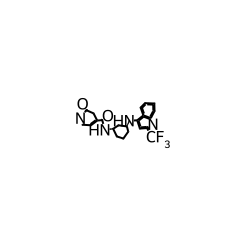 O=C1CC(C(=O)N[C@@H]2CCC[C@H](Nc3cc(C(F)(F)F)nc4ccccc34)C2)=CC=N1